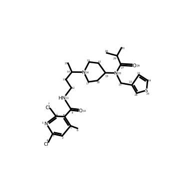 Cc1cc(Cl)nc(Cl)c1C(=O)NCCC(C)N1CCC(N(Cc2ccsc2)C(=O)C(C)C)CC1